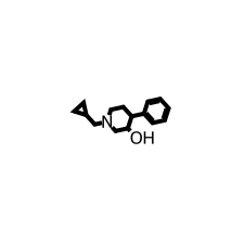 OC1CN(CC2CC2)CCC1c1ccccc1